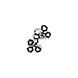 CC(C)(CC1[C@@H](O)C(O[Si](c2ccccc2)(c2ccccc2)C(C)(C)C)[C@@H](CO)O[C@H]1c1ccccc1)[Si](O)(c1ccccc1)c1ccccc1